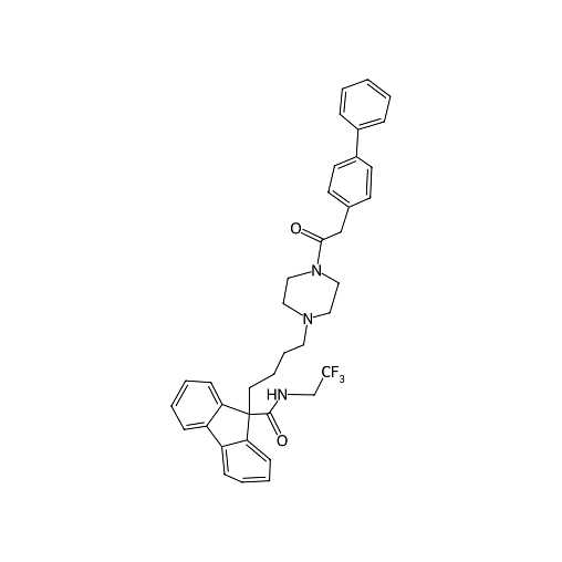 O=C(Cc1ccc(-c2ccccc2)cc1)N1CCN(CCCCC2(C(=O)NCC(F)(F)F)c3ccccc3-c3ccccc32)CC1